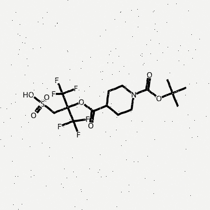 CC(C)(C)OC(=O)N1CCC(C(=O)OC(CS(=O)(=O)O)(C(F)(F)F)C(F)(F)F)CC1